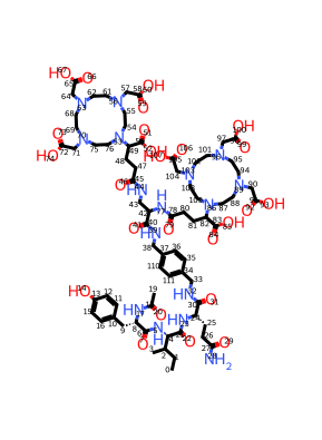 CCC(C)[C@H](NC(=O)[C@H](Cc1ccc(O)cc1)NC(C)=O)C(=O)N[C@@H](CCC(N)=O)C(=O)NCc1ccc(CNC(=O)C(CNC(=O)CCC(C(=O)O)N2CCN(CC(=O)O)CCN(CC(=O)O)CCN(CC(=O)O)CC2)NC(=O)CCC(C(=O)O)N2CCN(CC(=O)O)CCN(CC(=O)O)CCN(CC(=O)O)CC2)cc1